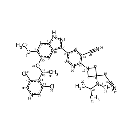 COc1cc2[nH]nc(-c3cnc(N4CC(CC#N)(N(C)C(C)C)C4)c(C#N)c3)c2cc1O[C@H](C)c1c(Cl)cncc1Cl